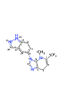 CN1C(C(F)(F)F)=CCc2ncn(-c3ccc4[nH]ncc4c3)c21